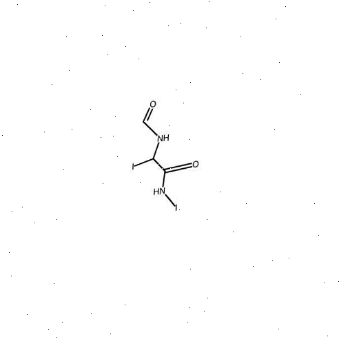 O=CNC(I)C(=O)NI